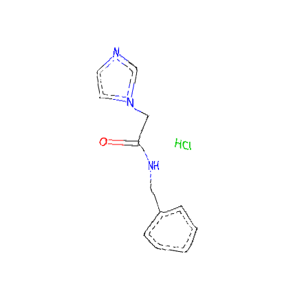 Cl.O=C(Cn1ccnc1)NCc1ccccc1